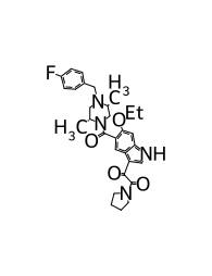 CCOc1cc2[nH]cc(C(=O)C(=O)N3CCCC3)c2cc1C(=O)N1C[C@H](C)N(Cc2ccc(F)cc2)C[C@H]1C